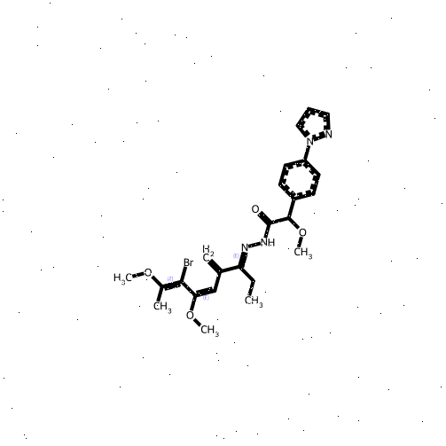 C=C(/C=C(OC)\C(Br)=C(/C)OC)/C(CC)=N/NC(=O)C(OC)c1ccc(-n2cccn2)cc1